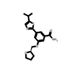 CC(C)c1cnc(-c2cc(OC[C@H]3CCCO3)cc(C(N)=O)c2)s1